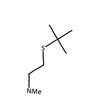 CNCCSC(C)(C)C